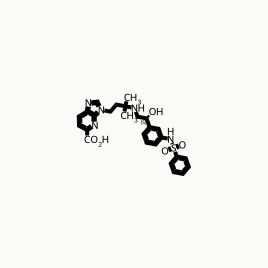 CC(C)(CCn1cnc2ccc(C(=O)O)nc21)NC[C@@H](O)c1cccc(NS(=O)(=O)c2ccccc2)c1